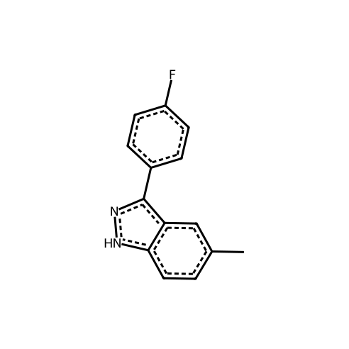 Cc1ccc2[nH]nc(-c3ccc(F)cc3)c2c1